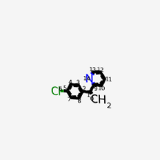 C=C(c1ccc(Cl)cc1)c1ccccn1